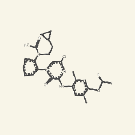 Cc1cc(Nc2nc(Cl)cn(-c3ccccc3N(CCC3CC3)C(=O)O)c2=O)c(C)nc1OC(F)F